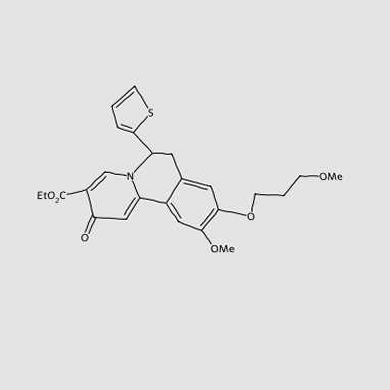 CCOC(=O)c1cn2c(cc1=O)-c1cc(OC)c(OCCCOC)cc1CC2c1cccs1